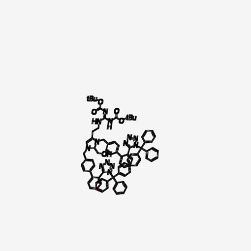 CC(C)(C)OC(=O)/N=C(\NCCC1=CN(Cc2ccc(-c3ccccc3-c3nnnn3C(c3ccccc3)(c3ccccc3)c3ccccc3)cc2)C(CO)N1Cc1ccc(-c2ccccc2-c2nnnn2C(c2ccccc2)(c2ccccc2)c2ccccc2)cc1)NC(=O)OC(C)(C)C